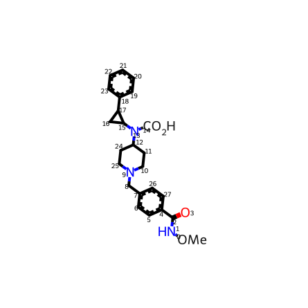 CONC(=O)c1ccc(CN2CCC(N(C(=O)O)C3CC3c3ccccc3)CC2)cc1